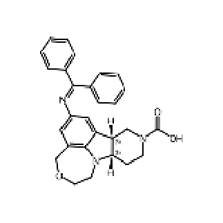 O=C(O)N1CC[C@H]2[C@@H](C1)c1cc(N=C(c3ccccc3)c3ccccc3)cc3c1N2CCOC3